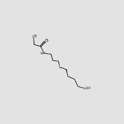 CCCCCCCCCCCCCCCCNC(=O)CC#N